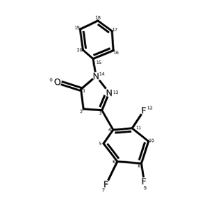 O=C1CC(c2cc(F)c(F)cc2F)=NN1c1ccccc1